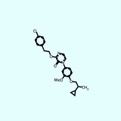 COc1cc(-n2ccnc(OCCc3ccc(Cl)cc3)c2=O)ccc1OCC(C)C1CC1